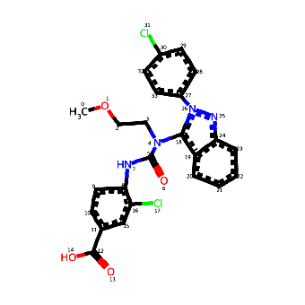 COCCN(C(=O)Nc1ccc(C(=O)O)cc1Cl)c1c2ccccc2nn1-c1ccc(Cl)cc1